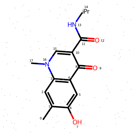 Cc1cc2c(cc1O)c(=O)c(C(=O)NC(C)C)cn2C